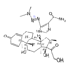 CN(C)/N=N/c1[nH]cnc1C(N)=O.C[C@@H]1C[C@H]2[C@@H]3CCC4=CC(=O)C=C[C@]4(C)[C@@]3(F)[C@@H](O)C[C@]2(C)[C@@]1(O)C(=O)CO